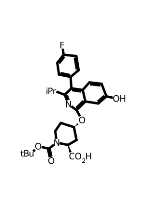 CC(C)c1nc(O[C@H]2CCN(C(=O)OC(C)(C)C)[C@H](C(=O)O)C2)c2cc(O)ccc2c1-c1ccc(F)cc1